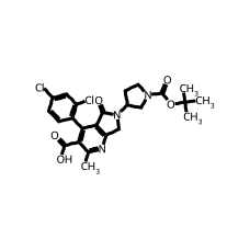 Cc1nc2c(c(-c3ccc(Cl)cc3Cl)c1C(=O)O)C(=O)N(C1CCN(C(=O)OC(C)(C)C)C1)C2